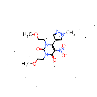 COCCn1c(-c2cnn(C)c2)c([N+](=O)[O-])c(=O)n(CCOC)c1=O